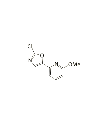 COc1cccc(-c2cnc(Cl)o2)n1